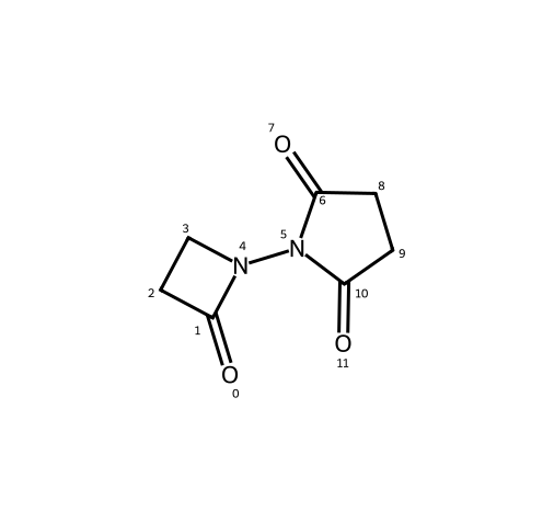 O=C1CCN1N1C(=O)CCC1=O